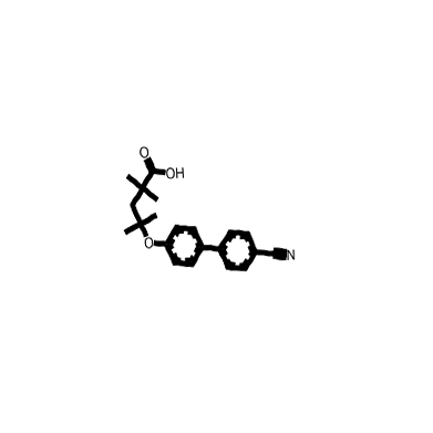 CC(C)(CC(C)(C)C(=O)O)Oc1ccc(-c2ccc(C#N)cc2)cc1